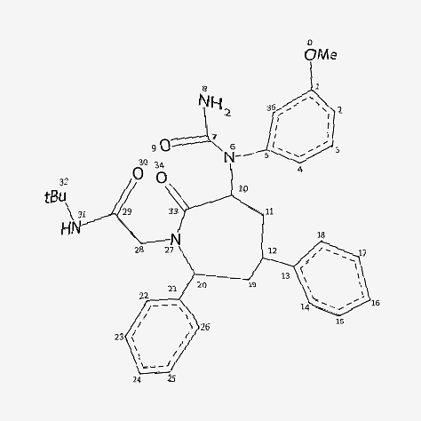 COc1cccc(N(C(N)=O)C2CC(c3ccccc3)CC(c3ccccc3)N(CC(=O)NC(C)(C)C)C2=O)c1